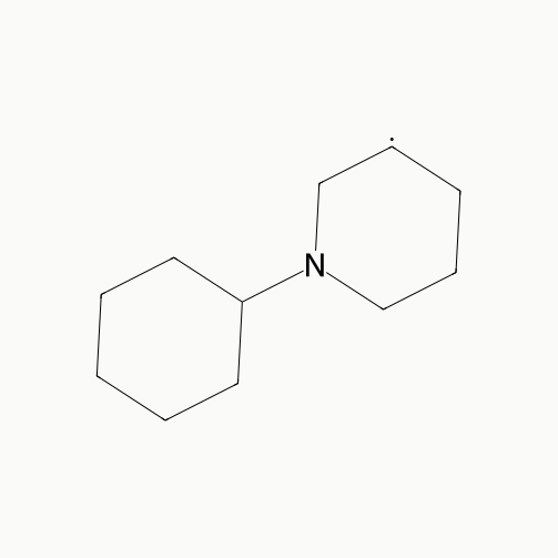 [CH]1CCCN(C2CCCCC2)C1